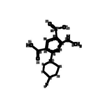 CNc1nc(N2CCC(F)CC2)c(C(=O)O)cc1[N+](=O)[O-]